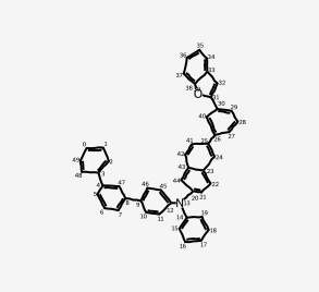 c1ccc(-c2cccc(-c3ccc(N(c4ccccc4)c4ccc5cc(-c6cccc(-c7cc8ccccc8o7)c6)ccc5c4)cc3)c2)cc1